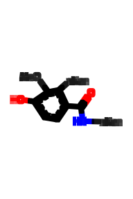 CCCCCCCCCNC(=O)c1ccc(O)c(OC)c1CCCCCCCCC